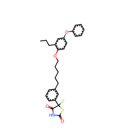 CCCc1cc(Oc2ccccc2)ccc1OCCCCCc1cccc(C2(F)SC(=O)NC2=O)c1